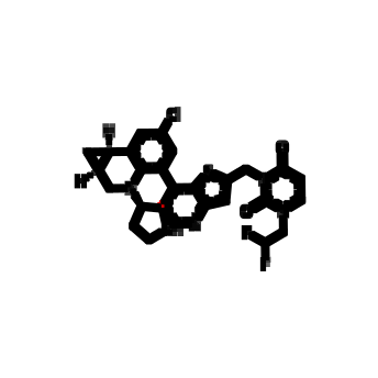 O=c1ccn(CC(F)F)c(=O)n1Cc1cc2nccc(-c3cc(Cl)cc4c3N([C@@H]3CCNC3)C[C@H]3C[C@@H]43)c2s1